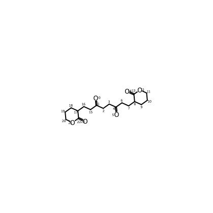 O=C(CCC(=O)CCC1CCCOC1=O)CCC1CCCOC1=O